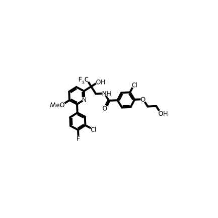 COc1ccc(C(O)(CNC(=O)c2ccc(OCCO)c(Cl)c2)C(F)(F)F)nc1-c1ccc(F)c(Cl)c1